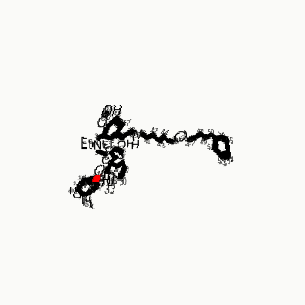 CC[N+](CC)(CC(=O)OC(C(=O)OC1CC2[C@H]3O[C@H]3C(C1)[N+]2(C)C)(c1cccs1)c1cccs1)Cc1cc(C(O)CNCCCCCCOCCCCc2ccccc2)ccc1OO